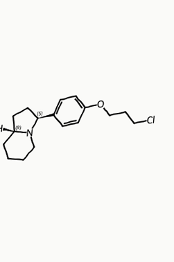 ClCCCOc1ccc([C@@H]2CC[C@H]3CCCCN32)cc1